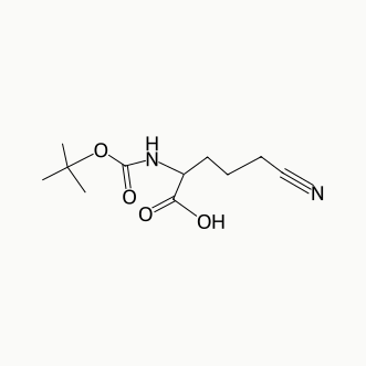 CC(C)(C)OC(=O)NC(CCCC#N)C(=O)O